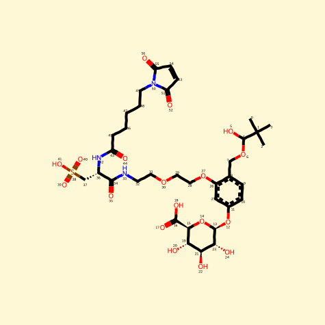 CC(C)(C)C(O)OCc1ccc(O[C@@H]2O[C@H](C(=O)O)[C@@H](O)[C@H](O)[C@H]2O)cc1OCCOCCNC(=O)[C@H](CS(=O)(=O)O)NC(=O)CCCCCN1C(=O)C=CC1=O